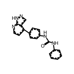 O=C(Nc1ccccc1)Nc1ccc(-c2ccnc3[nH]ncc23)cc1